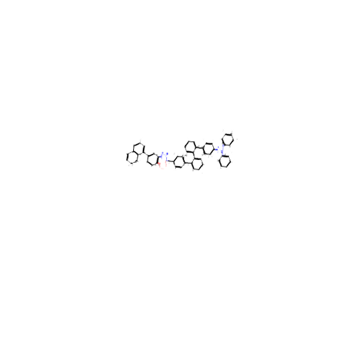 C1=Cc2cccc(-c3ccc4oc(-c5ccc(-c6ccccc6-c6ccccc6-c6ccc(N(c7ccccc7)c7ccccc7)cc6)cc5)nc4c3)c2CC1